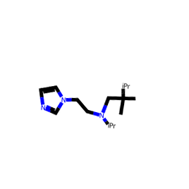 CC(C)N(CCn1ccnc1)CC(C)(C)C(C)C